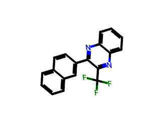 FC(F)(F)c1nc2ccccc2nc1-c1ccc2ccccc2c1